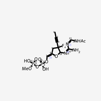 CC#CC1(F)C/C(=C/OP(=O)(O)OP(=O)(O)OC)OC1/N=C(N)\N=C/NC(C)=O